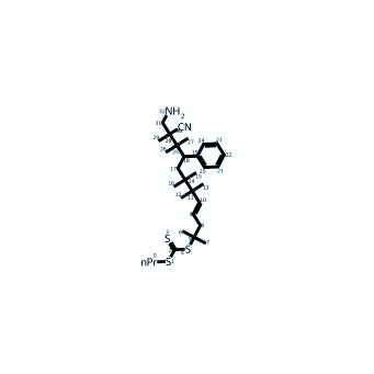 CCCSC(=S)SC(C)(C)C/C=C/C(C)(C)C(C)(C)CC(c1ccccc1)C(C)(C)C(C)(C#N)CN